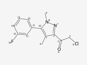 Cc1c(C(=O)CCl)nn(C)c1-c1cccc(F)c1